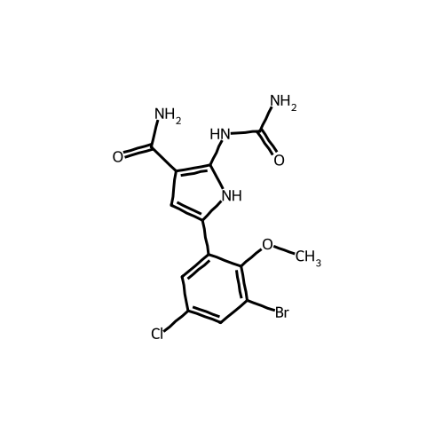 COc1c(Br)cc(Cl)cc1-c1cc(C(N)=O)c(NC(N)=O)[nH]1